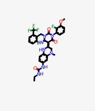 CCNC(=O)Nc1ccc2c(c1)N(C)C/C(=C1/C(=N)N(Cc3c(F)cccc3C(F)(F)F)C(=O)N(c3cccc(OC)c3F)C1=O)N2